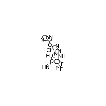 Cn1c(Nc2cc(OC3CNC3)cc(C(F)(F)F)c2)nc2ncc(Oc3cnn4ccncc34)c(Cl)c21